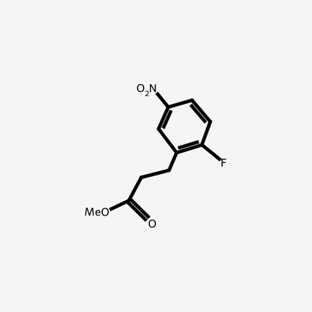 COC(=O)CCc1cc([N+](=O)[O-])ccc1F